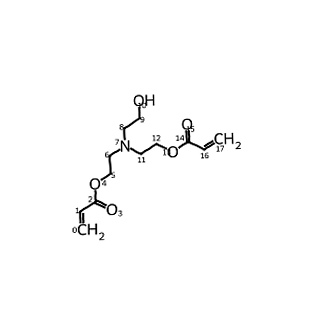 C=CC(=O)OCCN(CCO)CCOC(=O)C=C